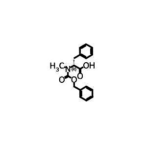 CN(C(=O)OCc1ccccc1)[C@H](Cc1ccccc1)C(=O)O